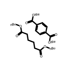 CCCCOC(=O)CCCCC(=O)OCCCC.COC(=O)c1ccc(C(=O)OC)cc1